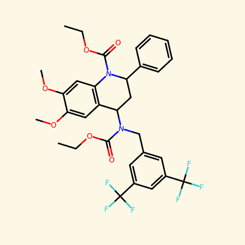 CCOC(=O)N(Cc1cc(C(F)(F)F)cc(C(F)(F)F)c1)C1CC(c2ccccc2)N(C(=O)OCC)c2cc(OC)c(OC)cc21